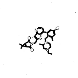 CCN1CCN(Cc2c(C)cc(Cl)cc2-c2ccnc3cc(CN4C(=O)C5C(C4=O)C5(C)C)sc23)C(C)C1